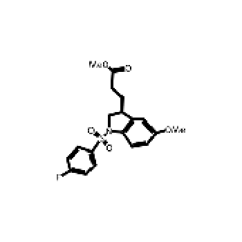 COC(=O)CCC1CN(S(=O)(=O)c2ccc(F)cc2)c2ccc(OC)cc21